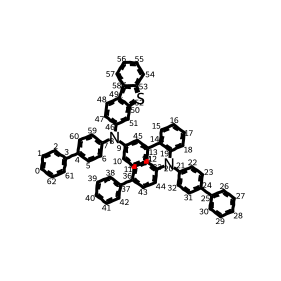 c1ccc(-c2ccc(N(c3cccc(-c4ccccc4N(c4ccc(-c5ccccc5)cc4)c4ccc(-c5ccccc5)cc4)c3)c3ccc4c(c3)sc3ccccc34)cc2)cc1